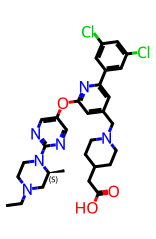 CCN1CCN(c2ncc(Oc3cc(CN4CCC(CC(=O)O)CC4)cc(-c4cc(Cl)cc(Cl)c4)n3)cn2)[C@@H](C)C1